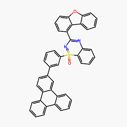 O=S1(c2cccc(-c3ccc4c5ccccc5c5ccccc5c4c3)c2)=NC(c2cccc3oc4ccccc4c23)=Nc2ccccc21